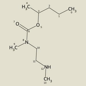 CCCC(C)OC(=O)N(C)CCNC